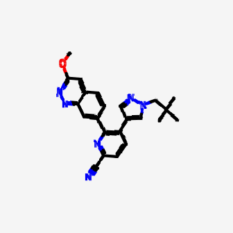 COc1cc2ccc(-c3nc(C#N)ccc3-c3cnn(CC(C)(C)C)c3)cc2nn1